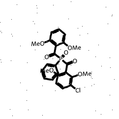 COc1cccc(OC)c1C(=O)P(=O)(C(=O)c1c(OC)ccc(Cl)c1OC)c1ccccc1